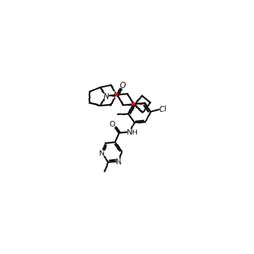 Cc1ncc(C(=O)Nc2cc(Cl)cc(CN3CC4CCC(C3)N4C(=O)CC3CCC3)c2C)cn1